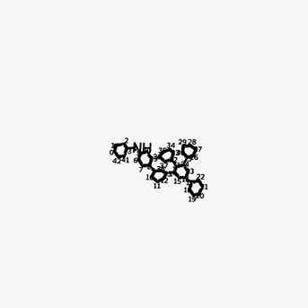 c1ccc(Nc2ccc(-c3cccc(-c4cc(-c5ccccc5)cc(-c5ccccc5)c4-c4ccccc4)c3)cc2)cc1